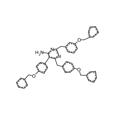 Nc1nc(Cc2cccc(OCc3ccccc3)c2)nc(Cc2ccc(OCc3ccccc3)cc2)c1-c1ccc(OCc2ccccc2)cc1